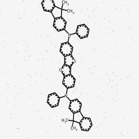 CC1(C)c2ccccc2-c2ccc(N(c3ccccc3)c3ccc4c(c3)oc3c5ccc(N(c6ccccc6)c6ccc7c(c6)C(C)(C)c6ccccc6-7)cc5sc43)cc21